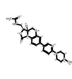 CC(=O)NC[C@@H]1OC(=O)N2c3ccc(-c4ccc(N5CCN(C)CC5)nc4)cc3OC[C@@H]12